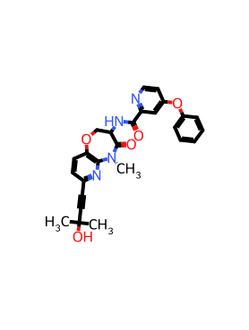 CN1C(=O)C(NC(=O)c2cc(Oc3ccccc3)ccn2)COc2ccc(C#CC(C)(C)O)nc21